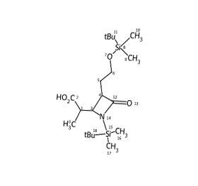 CC(C(=O)O)C1C(CCO[Si](C)(C)C(C)(C)C)C(=O)N1[Si](C)(C)C(C)(C)C